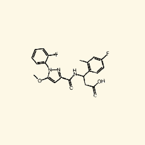 COc1cc(C(=O)NC(CC(=O)O)c2ccc(F)cc2C)nn1-c1ccccc1F